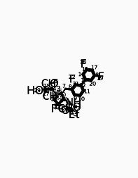 CCS(=O)(=O)N[C@@H]1[C@H](Cc2cccc(-c3cc(F)cc(F)c3)c2F)N(C(=O)C(C)(C)O)C[C@@]1(C)F